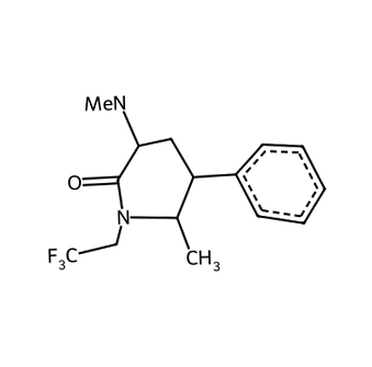 CNC1CC(c2ccccc2)C(C)N(CC(F)(F)F)C1=O